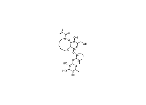 CC1OC(OC2[C@H](C)CCC[C@H]2O[C@@H]2OC(CO)[C@H](O)C3O[C@@H](C(=O)N(C)C)CCCCCOC32)[C@@H](O)C(O)[C@@H]1O